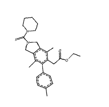 CCOC(=O)Cc1c(C)c2c(c(C)c1-c1ccc(C)cc1)CN(C(=S)N1CCCCC1)C2